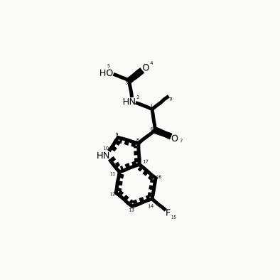 CC(NC(=O)O)C(=O)c1c[nH]c2ccc(F)cc12